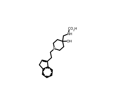 O=C(O)NCC1(O)CCN(CCC2=CCc3ccccc32)CC1